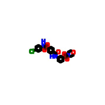 O=C(Nc1cccc(S(=O)(=O)N2CCOCC2)c1)c1ccc(S(=O)(=O)Nc2ccc(Cl)cc2)cc1